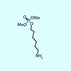 COP(=O)(OC)OCCCCCCN